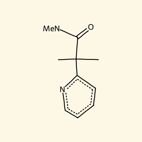 CNC(=O)C(C)(C)c1ccccn1